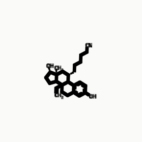 C=CC12CCc3cc(O)ccc3C1[C@@H](CCCCCC#N)C[C@@]1(C)C2CC[C@@H]1O